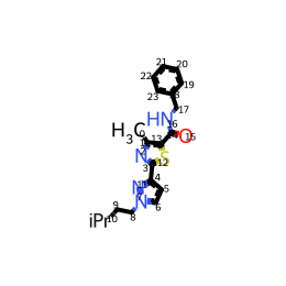 Cc1nc(-c2ccn(CCC(C)C)n2)sc1C(=O)NCc1ccccc1